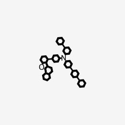 c1ccc(-c2ccc(-c3ccc(N(c4ccc(-c5cccc6oc7c8ccccc8ccc7c56)cc4)c4cccc(-c5ccccc5)c4)cc3)cc2)cc1